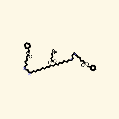 CN(C)CCCC(=O)OC(CCCCCCCC/C=C\C/C=C\CCCCC(=O)OCc1ccccc1)CCCCCCCC/C=C\C/C=C\CCCCC(=O)OCc1ccccc1